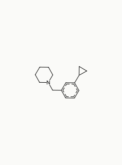 c1cc(CN2CCCCC2)cc(C2CC2)c1